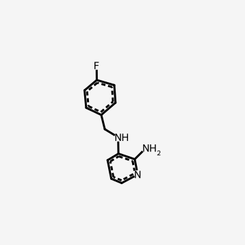 Nc1ncccc1NCc1ccc(F)cc1